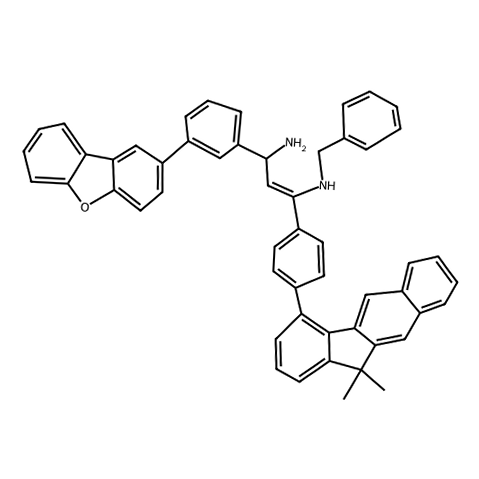 CC1(C)c2cc3ccccc3cc2-c2c(-c3ccc(/C(=C/C(N)c4cccc(-c5ccc6oc7ccccc7c6c5)c4)NCc4ccccc4)cc3)cccc21